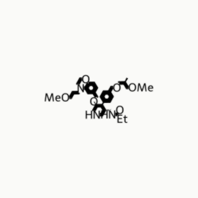 CCC(=O)NC[C@@H]1CNC[C@H](OCc2ccc3c(c2)N(CCCOC)CCO3)[C@H]1c1ccc(COC[C@@H](C)COC)cc1